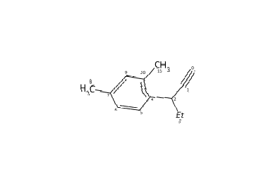 [C]#CC(CC)c1ccc(C)cc1C